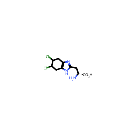 N[C@H](Cc1nc2c([nH]1)CC(Cl)C(Cl)C2)C(=O)O